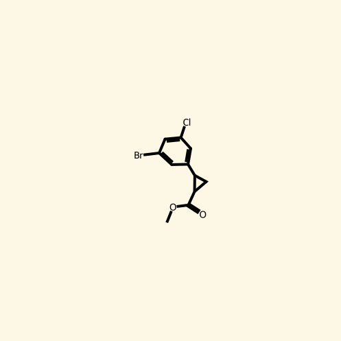 COC(=O)C1CC1c1cc(Cl)cc(Br)c1